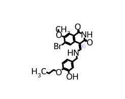 CCCOc1ccc(CN/C=C2/C(=O)NC(=O)c3cc(OC)c(Br)cc32)cc1O